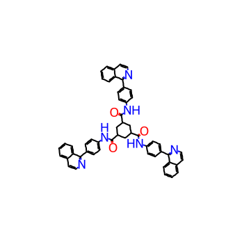 O=C(Nc1ccc(-c2nccc3ccccc23)cc1)C1CC(C(=O)Nc2ccc(-c3nccc4ccccc34)cc2)CC(C(=O)Nc2ccc(-c3nccc4ccccc34)cc2)C1